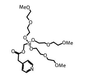 COCCOCCO[Si](COC(=O)Cc1ccncc1)(OCCOCCOC)OCCOCCOC